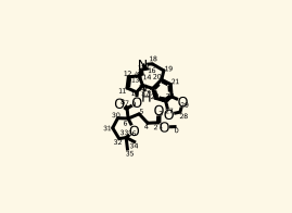 COC(=O)CCC1(C(=O)OC2C=C[C@]34CCCN3CCc3cc5c(cc3[C@H]24)OCO5)CCCC(C)(C)O1